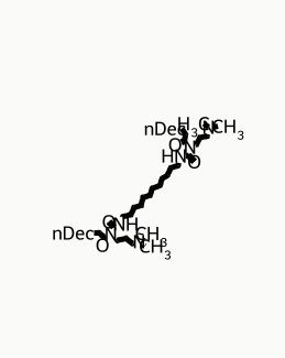 CCCCCCCCCCCC(=O)N(CCCN(C)C)C(=O)NCCCCCCCCCCCCNC(=O)N(CCCN(C)C)C(=O)CCCCCCCCCCC